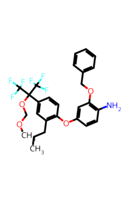 CCCc1cc(C(OCOC)(C(F)(F)F)C(F)(F)F)ccc1Oc1ccc(N)c(OCc2ccccc2)c1